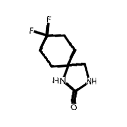 O=C1NCC2(CCC(F)(F)CC2)N1